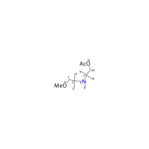 COCC(C)(C)N(C)C(C)(C)COC(C)=O